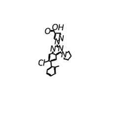 Cc1ccccc1-c1cc2c(N3CCCC3)nc(-n3cc(C(=O)O)cn3)nc2cc1Cl